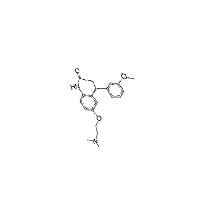 COc1cccc(C2CC(=O)Nc3ccc(OCCN(C)C)cc32)c1